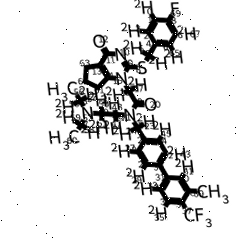 [2H]c1c([2H])c(C([2H])([2H])Sc2nc(=O)c3c(n2C([2H])([2H])C(=O)N(C([2H])([2H])c2c([2H])c([2H])c(-c4c([2H])c([2H])c(C(F)(F)F)c(C)c4[2H])c([2H])c2[2H])C([2H])([2H])C([2H])([2H])N(C([2H])([2H])C)C([2H])([2H])C)CCC3)c([2H])c([2H])c1F